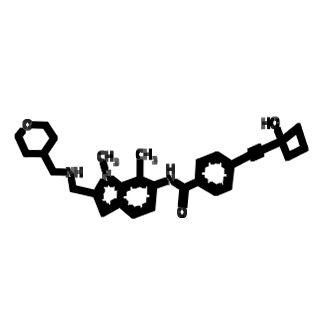 Cc1c(NC(=O)c2ccc(C#CC3(O)CCC3)cc2)ccc2cc(CNCC3CCOCC3)n(C)c12